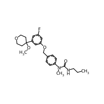 CCCNC(=O)N(C)c1ccc(COc2cc(F)cc(C3(OC)CCOCC3)c2)cc1